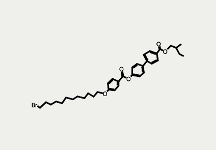 CCC(C)COC(=O)c1ccc(-c2ccc(OC(=O)c3ccc(OCCCCCCCCCCCCBr)cc3)cc2)cc1